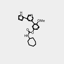 COc1ccc(OC(=O)NC2CCCCCC2)cc1-c1cncc(-c2ccc[nH]2)c1